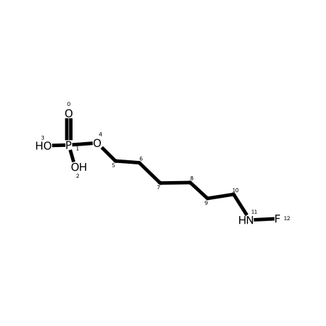 O=P(O)(O)OCCCCCCNF